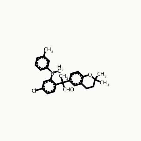 Cc1cccc(N(C)c2cc(Cl)ccc2C(C)(C=O)c2ccc3c(c2)CCC(C)(C)O3)c1